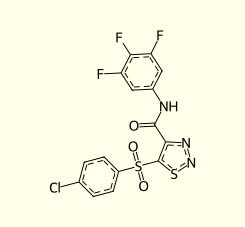 O=C(Nc1cc(F)c(F)c(F)c1)c1nnsc1S(=O)(=O)c1ccc(Cl)cc1